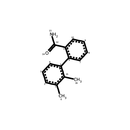 Cc1cccc(-c2ccccc2C(N)=O)c1C